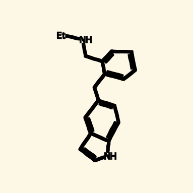 CCNCc1ccccc1Cc1ccc2[nH]ccc2c1